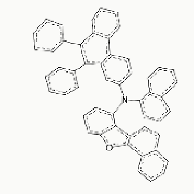 c1ccc(-c2c(-c3ccccc3)c3cc(N(c4cccc5ccccc45)c4cccc5oc6c7ccccc7ccc6c45)ccc3c3ccccc23)cc1